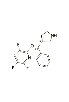 Fc1cc(F)c(O[C@@H](c2ccccc2)[C@H]2CCNC2)nc1F